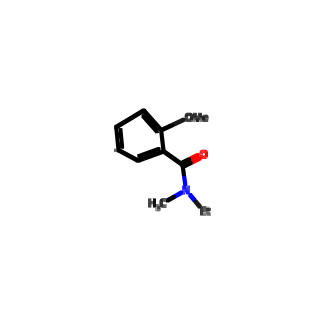 CCN(C)C(=O)c1c[c]ccc1OC